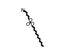 CCCCCCCCCCCCOC(=O)OCCCCC#N